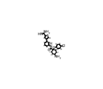 N=C(N)c1cc(-c2cccc(NC(=O)C3(Oc4ccc(Cl)cc4)CCC(N)CC3)c2)cs1